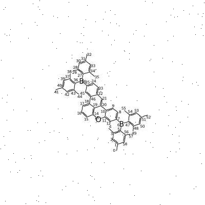 Cc1cc(C)c(B(c2ccc3c(c2)Oc2cccc4c2c-3cc2ccc(B(c3c(C)cc(C)cc3C)c3c(C)cc(C)cc3C)cc24)c2c(C)cc(C)cc2C)c(C)c1